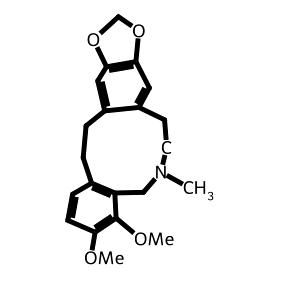 COc1ccc2c(c1OC)CN(C)CCc1cc3c(cc1CC2)OCO3